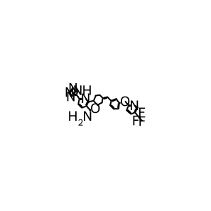 NC(=O)c1ccc(-c2nnn[nH]2)nc1C1CCC(=Cc2cccc(Oc3ccc(C(F)(F)F)cn3)c2)CC1